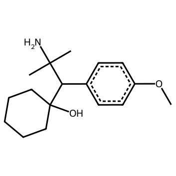 COc1ccc(C(C(C)(C)N)C2(O)CCCCC2)cc1